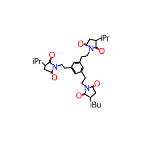 CCC(C)C1CC(=O)N(CCc2cc(CCN3C(=O)CC(C(C)C)C3=O)cc(CCN3C(=O)CC(C(C)C)C3=O)c2)C1=O